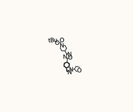 CC(C)(C)OC(=O)N1CCC(c2noc(-c3ccc4cnn(C5CCOC5)c4c3)n2)CC1